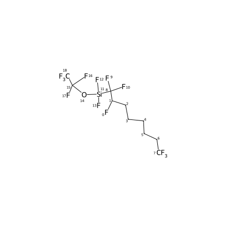 FC(CCCCCC(F)(F)F)C(F)(F)[Si](F)(F)OC(F)(F)C(F)(F)F